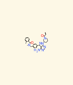 C=CC(=O)N1CCCC(n2nc(-c3ccc(CN(C)C(=O)c4ccccc4C)cc3)c3c(N)ncnc32)C1